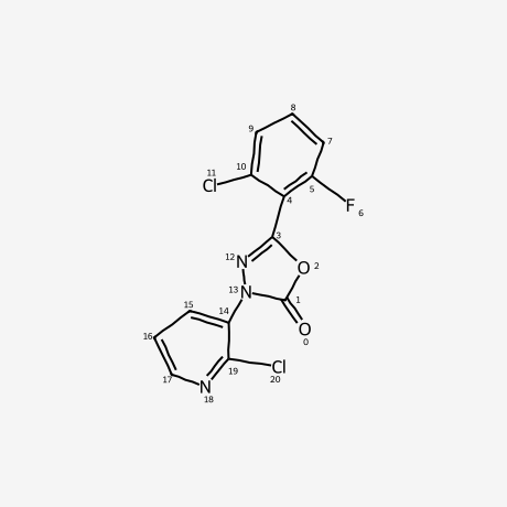 O=c1oc(-c2c(F)cccc2Cl)nn1-c1cccnc1Cl